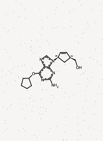 Nc1nc(OC2CCCC2)c2ncn([C@H]3C=C[C@@H](CO)C3)c2n1